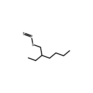 CCCCC(CC)CSP=S